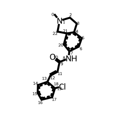 CN1CCc2ccc(NC(=O)/C=C/c3ccccc3Cl)cc2C1